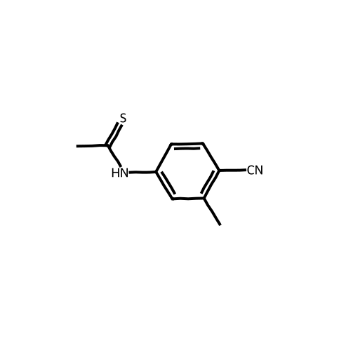 CC(=S)Nc1ccc(C#N)c(C)c1